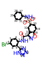 O=C(Nc1ccc(Br)cc1-c1nnn[nH]1)c1noc2ccc(S(=O)(=O)Nc3ccccc3)cc12